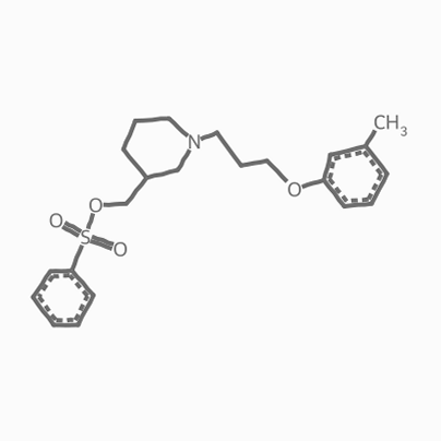 Cc1cccc(OCCCN2CCCC(COS(=O)(=O)c3ccccc3)C2)c1